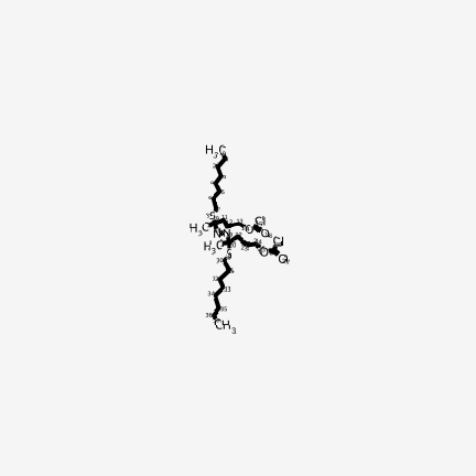 CCCCCCCCSC(C)(CCCOC(=O)Cl)N=NC(C)(CCCOC(=O)Cl)SCCCCCCCC